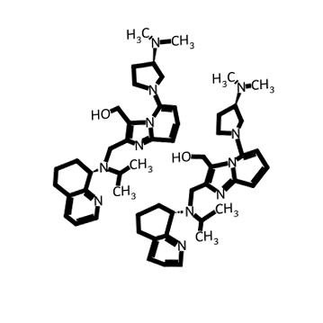 CC(C)N(Cc1nc2cccc(N3CC[C@@H](N(C)C)C3)n2c1CO)[C@H]1CCCc2cccnc21.CC(C)N(Cc1nc2cccc(N3CC[C@@H](N(C)C)C3)n2c1CO)[C@H]1CCCc2cccnc21